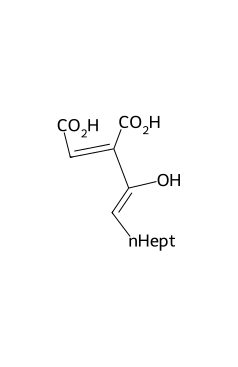 CCCCCCCC=C(O)/C(=C/C(=O)O)C(=O)O